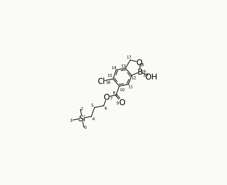 C[Si](C)(C)CCCOC(=O)c1cc2c(cc1Cl)COB2O